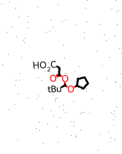 CC(C)(C)C(OC(=O)CC(=O)O)OC1CCCC1